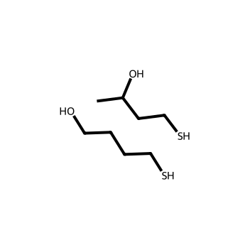 CC(O)CCS.OCCCCS